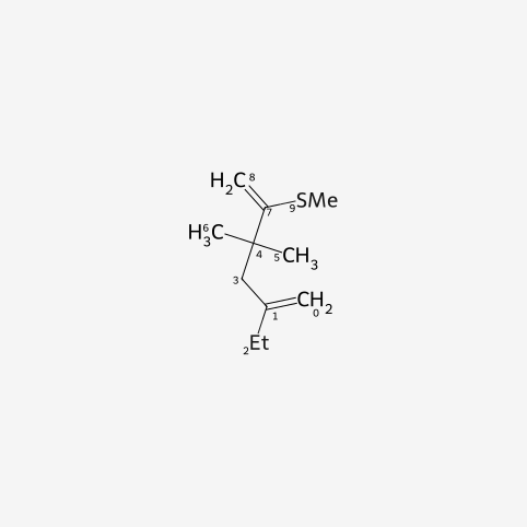 C=C(CC)CC(C)(C)C(=C)SC